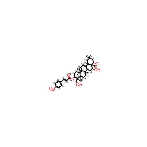 CC1(C)CC[C@]2(C(=O)O)CC[C@]3(C)C(=CC[C@@H]4[C@@]5(C)CCC(OC(=O)/C=C/c6ccc(O)cc6)[C@@](C)(CO)[C@@H]5CC[C@]43C)[C@@H]2C1